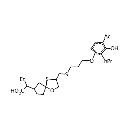 CCCc1c(OCCCSCC2COC3(CCC(C(CC)C(=O)O)C3)S2)ccc(C(C)=O)c1O